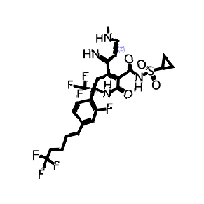 CN/C=C\C(=N)C1=C(C(=O)NS(=O)(=O)C2CC2)C(=O)N[C@@](c2ccc(CCCCC(F)(F)F)cc2F)(C(F)(F)F)C1